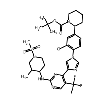 CC1CN(S(C)(=O)=O)CCC1Nc1ncc(C(F)(F)F)c(-c2cn(-c3ccc(C4CCCCN4C(=O)OC(C)(C)C)cc3Cl)cn2)n1